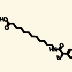 O=C(O)CCCCCCCCCCCNC(=O)C(Br)c1ccccc1